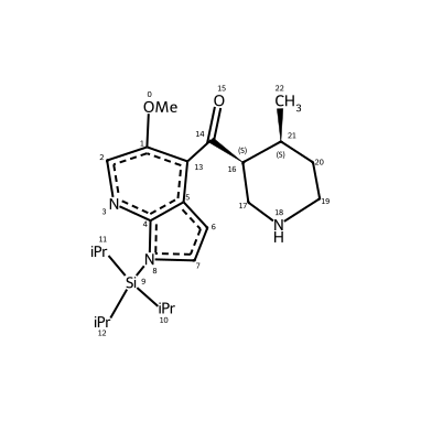 COc1cnc2c(ccn2[Si](C(C)C)(C(C)C)C(C)C)c1C(=O)[C@@H]1CNCC[C@@H]1C